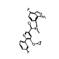 CN(Cc1ccc(F)c2cn[nH]c12)C(=O)c1cnc(-c2cccc(F)c2)c(OC2CC2)c1